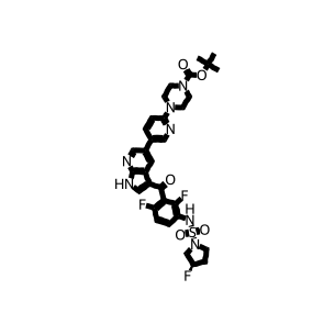 CC(C)(C)OC(=O)N1CCN(c2ccc(-c3cnc4[nH]cc(C(=O)c5c(F)ccc(NS(=O)(=O)N6CC[C@@H](F)C6)c5F)c4c3)cn2)CC1